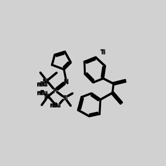 C=C(C(=C)c1ccccc1)c1ccccc1.CCCC[Si](C)(C)P(=NC1=CC=CC1)([Si](C)(C)CCCC)[Si](C)(C)CCCC.[Ti]